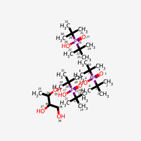 CC(C)(C)P(=O)(O)C(C)(C)C.CC(C)(C)P(=O)(O)C(C)(C)C.CC(C)(C)P(=O)(O)C(C)(C)C.CC(O)C(O)CO